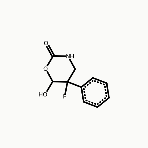 O=C1NCC(F)(c2ccccc2)C(O)O1